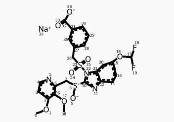 COc1ccnc(C[S+]([O-])c2nc3ccc(OC(F)F)cc3n2S(=O)(=O)Cc2cccc(C(=O)[O-])c2)c1OC.[Na+]